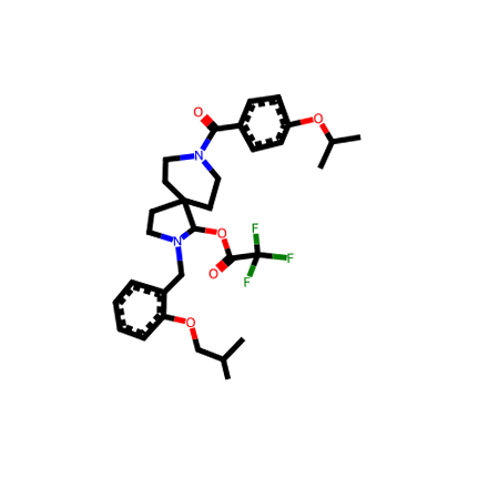 CC(C)COc1ccccc1CN1CCC2(CCN(C(=O)c3ccc(OC(C)C)cc3)CC2)C1OC(=O)C(F)(F)F